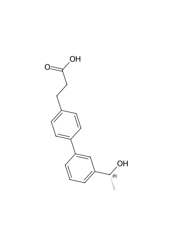 C[C@@H](O)c1cccc(-c2ccc(CCC(=O)O)cc2)c1